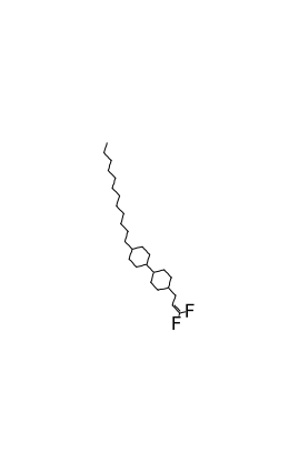 CCCCCCCCCCCCC1CCC(C2CCC(CC=C(F)F)CC2)CC1